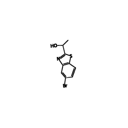 CC(O)c1nc2cc(Br)ccc2s1